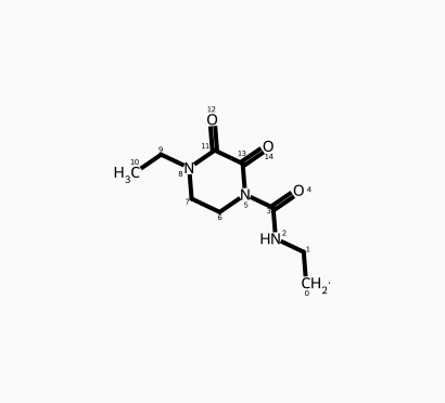 [CH2]CNC(=O)N1CCN(CC)C(=O)C1=O